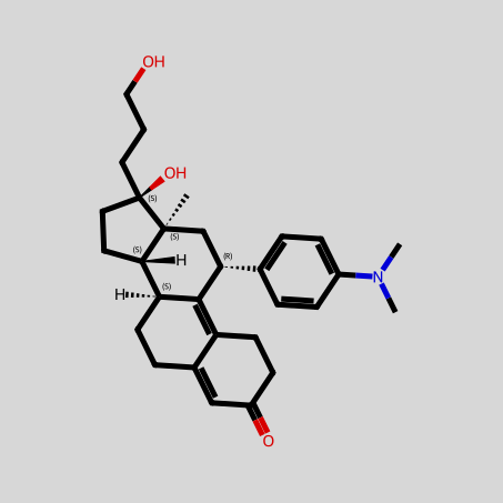 CN(C)c1ccc([C@H]2C[C@@]3(C)[C@@H](CC[C@]3(O)CCCO)[C@@H]3CCC4=CC(=O)CCC4=C32)cc1